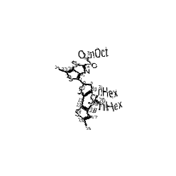 CCCCCCCCS(=O)(=O)c1nc2c(-c3cc4c(s3)-c3sc(C)cc3[Si]4(CCCCCC)CCCCCC)sc(C)c2s1